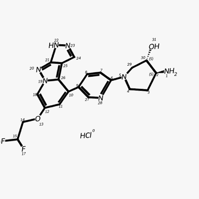 Cl.N[C@H]1CCN(c2ccc(-c3cc(OCC(F)F)cn4nc5[nH]ncc5c34)cn2)C[C@@H]1O